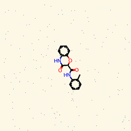 Cc1ccccc1NC(=O)C1Oc2ccccc2NC1=O